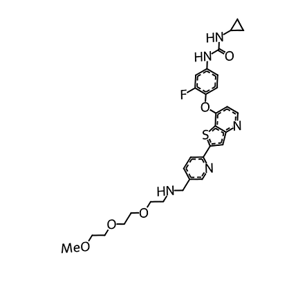 COCCOCCOCCNCc1ccc(-c2cc3nccc(Oc4ccc(NC(=O)NC5CC5)cc4F)c3s2)nc1